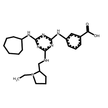 CCN1CCCC1CNc1nc(Nc2cccc(C(=O)O)c2)nc(NC2CCCCCC2)n1